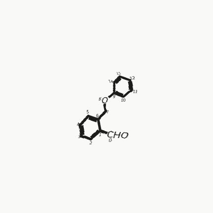 O=Cc1ccccc1COc1ccccc1